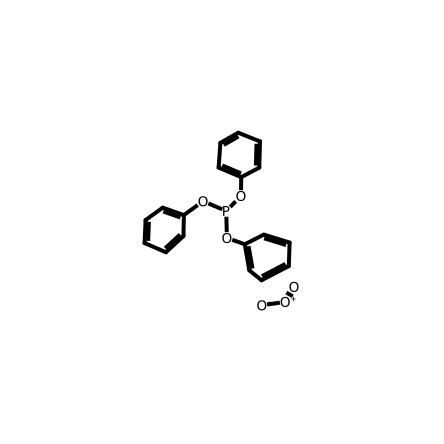 O=[O+][O-].c1ccc(OP(Oc2ccccc2)Oc2ccccc2)cc1